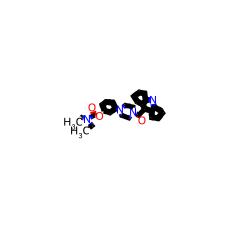 CCN(CC)C(=O)Oc1cccc(N2CCN(C(=O)c3c4ccccc4nc4ccccc34)CC2)c1